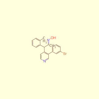 CC(=NO)C(c1ccccc1C)c1ccncc1-c1cccc(Br)c1